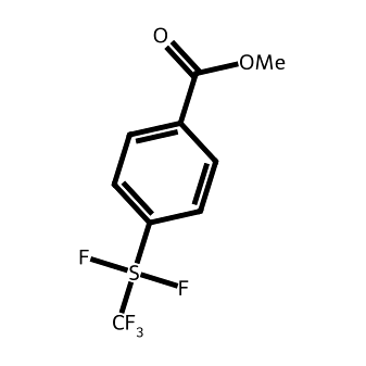 COC(=O)c1ccc(S(F)(F)C(F)(F)F)cc1